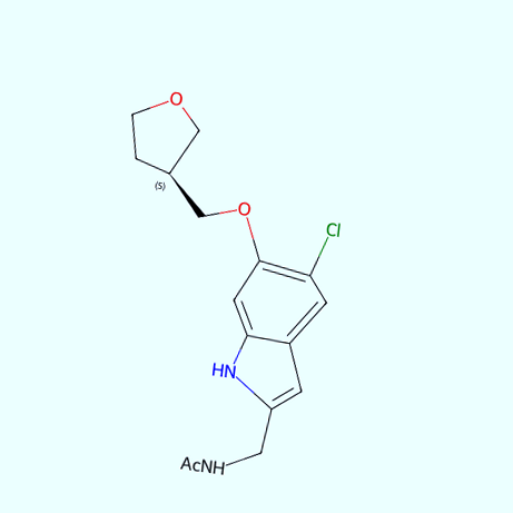 CC(=O)NCc1cc2cc(Cl)c(OC[C@H]3CCOC3)cc2[nH]1